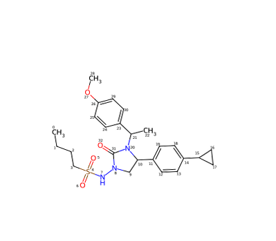 CCCCS(=O)(=O)NN1CC(c2ccc(C3CC3)cc2)N(C(C)c2ccc(OC)cc2)C1=O